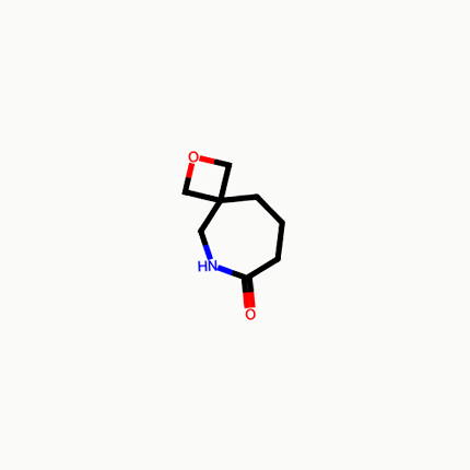 O=C1CCCC2(CN1)COC2